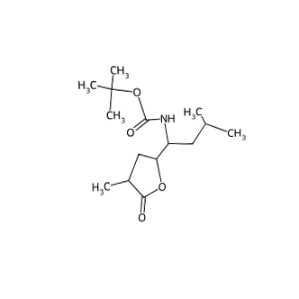 CC(C)CC(NC(=O)OC(C)(C)C)C1CC(C)C(=O)O1